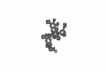 Cn1cc2cc(Nc3nc(=O)n(-c4cncc(C#N)c4)c(=O)n3Cc3cc(F)c(F)c(Cl)c3)c(Cl)cc2n1